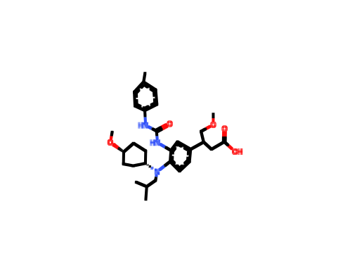 COCC(CC(=O)O)c1ccc(N(CC(C)C)[C@H]2CC[C@H](OC)CC2)c(NC(=O)Nc2ccc(C)cc2)c1